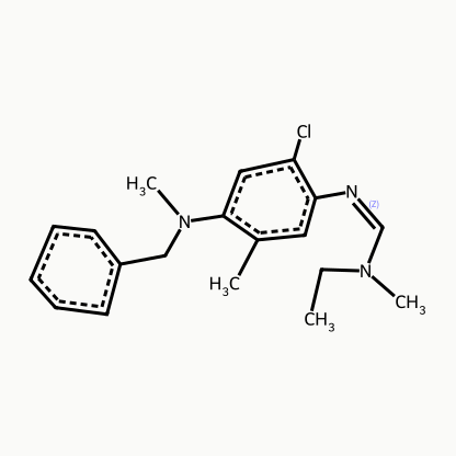 CCN(C)/C=N\c1cc(C)c(N(C)Cc2ccccc2)cc1Cl